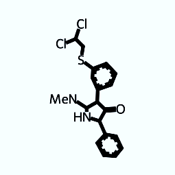 CNC1NC(c2ccccc2)C(=O)C1c1cccc(SCC(Cl)Cl)c1